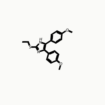 CCSc1nc(-c2ccc(OC)cc2)c(-c2ccc(OC)cc2)[nH]1